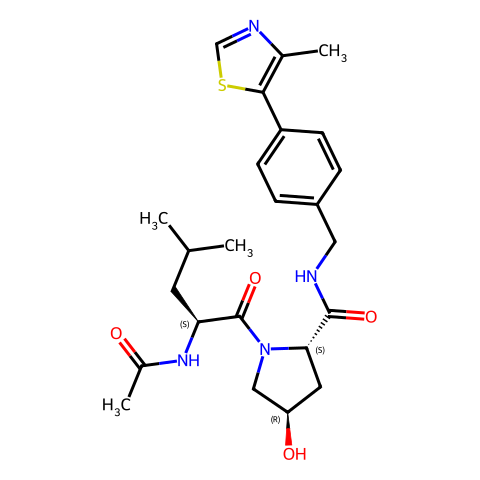 CC(=O)N[C@@H](CC(C)C)C(=O)N1C[C@H](O)C[C@H]1C(=O)NCc1ccc(-c2scnc2C)cc1